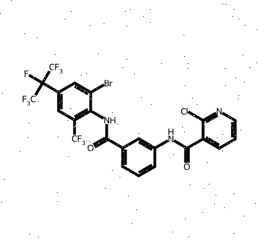 O=C(Nc1c(Br)cc(C(F)(C(F)(F)F)C(F)(F)F)cc1C(F)(F)F)c1cccc(NC(=O)c2cccnc2Cl)c1